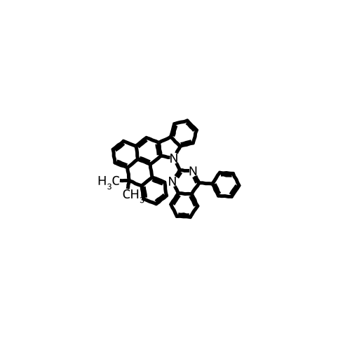 CC1(C)c2ccccc2-c2c3c1cccc3cc1c3ccccc3n(-c3nc(-c4ccccc4)c4ccccc4n3)c21